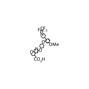 COc1ccc(C2CCN(CC(F)(F)C(F)(F)F)CC2)c(O[C@H]2CC[C@H](Oc3cc4c(cn3)OCCC4CC(=O)O)CC2)c1